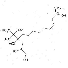 CCCCCC[C@@H](O)C/C=C\CCCCCC(CC(O)CO)(OC(C)=O)C(OC(C)=O)(OC(C)=O)C(=O)O